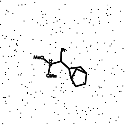 CO[SiH](OC)C(C(C)C)C1CC2CCC1C2